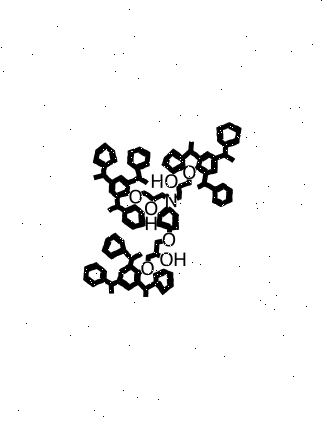 CC(c1ccccc1)c1cc(C(C)c2ccccc2)c(OCC(O)COc2ccc(N(CC(O)COc3c(C(C)c4ccccc4)cc(C(C)c4ccccc4)cc3C(C)c3ccccc3)CC(O)COc3c(C(C)c4ccccc4)cc(C(C)c4ccccc4)cc3C(C)c3ccccc3)cc2)c(C(C)c2ccccc2)c1